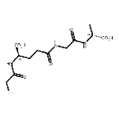 CC(C)CC(=O)N[C@H](CCC(=O)NCC(=O)N[C@H](C)C(=O)O)C(=O)O